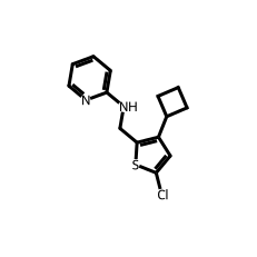 Clc1cc(C2CCC2)c(CNc2ccccn2)s1